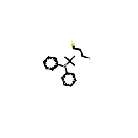 CC(C)(C)[Si](c1ccccc1)c1ccccc1.[Li][CH2]CC=S